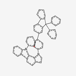 c1ccc(-n2c3ccccc3c3ccc4ccn(-c5ccc(-c6ccc7c(c6)C(c6ccccc6)(c6ccccc6)c6ccccc6-7)cc5)c4c32)cc1